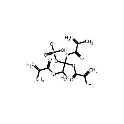 C=C(C)C(=O)OC(C)C(OC(=O)C(=C)C)(OC(=O)C(=C)C)OP(=O)(O)O